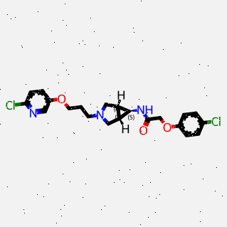 O=C(COc1ccc(Cl)cc1)N[C@H]1[C@@H]2CN(CCCOc3ccc(Cl)nc3)C[C@@H]21